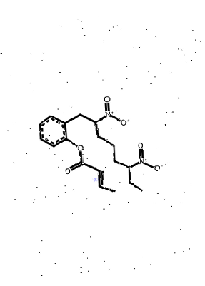 C/C=C/C(=O)Oc1ccccc1CC(CCCC(CC)[N+](=O)[O-])[N+](=O)[O-]